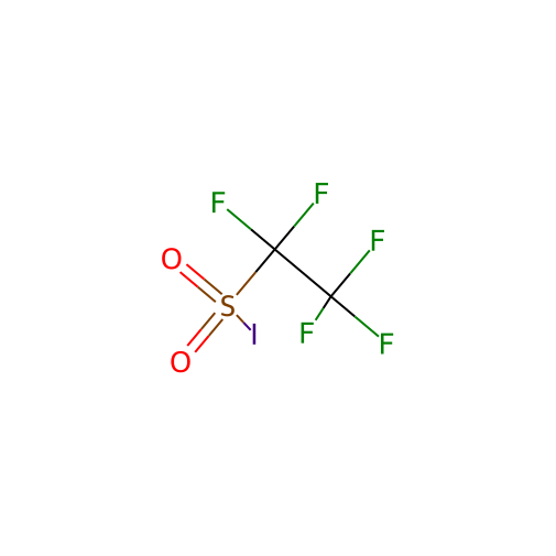 O=S(=O)(I)C(F)(F)C(F)(F)F